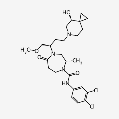 COC[C@@H](CCN1CCC2(CC2)[C@H](O)C1)N1C[C@H](C)N(C(=O)Nc2ccc(Cl)c(Cl)c2)CCC1=O